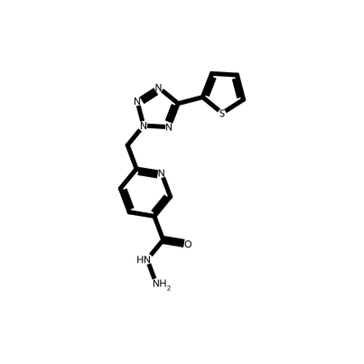 NNC(=O)c1ccc(Cn2nnc(-c3cccs3)n2)nc1